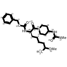 [CH2]C(CCCC[C@@H](NC(=O)OCc1ccccc1)C(=O)N1CCC(NC(=O)NC)CC1)OC